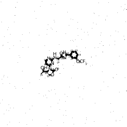 C[C@H](Nc1nccc(N2C(=O)OC[C@@H]2[C@@H](C)O)n1)c1nc(-c2cccc(OC(F)(F)F)c2)no1